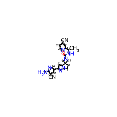 C[C@@H](NC(=O)N1CC2(CCn3nc(-c4cnc(N)c(C#N)c4)cc32)C1)c1cc(C#N)ccn1